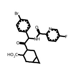 O=C(NC(C(=O)C1CC2CC2CC1C(=O)O)c1ccc(Br)cc1)c1ccc(F)cn1